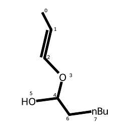 CC=COC(O)CCCCC